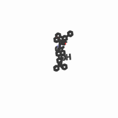 C=C1/C(=C\C(=CC)N(c2ccccc2)c2c(F)cc(-c3ccccc3)cc2-c2ccccc2)Oc2ccc(-c3ccc(N(C4=CCCC=C4)C4C=CC=CC4)cc3O)c3cccc1c23